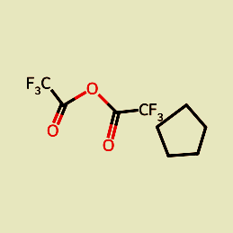 C1CCCC1.O=C(OC(=O)C(F)(F)F)C(F)(F)F